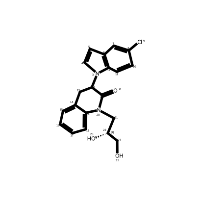 O=C1C(n2ccc3cc(Cl)ccc32)Cc2ccccc2N1C[C@@H](O)CO